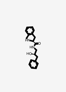 O=C(NC[C@H](O)Cc1ccccc1)[C@@H]1Cc2ccccc2CN1